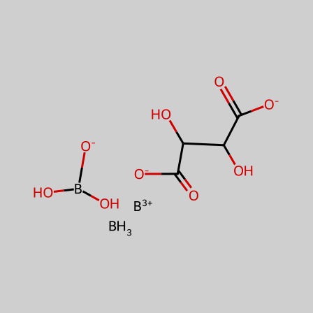 B.O=C([O-])C(O)C(O)C(=O)[O-].[B+3].[O-]B(O)O